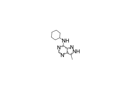 Cc1[nH]nc2c(NC3CCCCC3)ncnc12